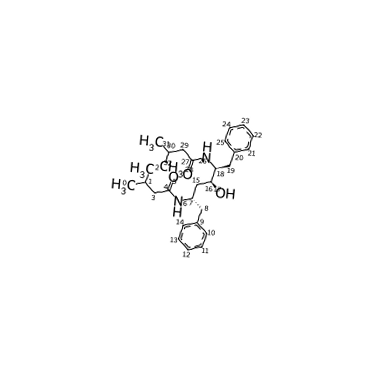 CC(C)CC(=O)N[C@@H](Cc1ccccc1)C[C@H](O)[C@H](Cc1ccccc1)NC(=O)CC(C)C